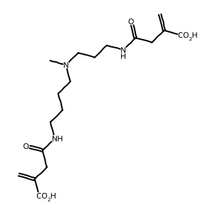 C=C(CC(=O)NCCCCN(C)CCCNC(=O)CC(=C)C(=O)O)C(=O)O